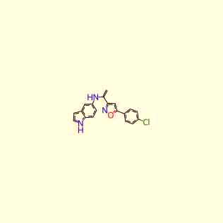 C=C(Nc1ccc2[nH]ccc2c1)c1cc(-c2ccc(Cl)cc2)on1